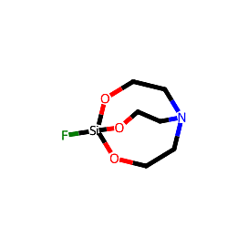 F[Si]12OCCN(CCO1)CCO2